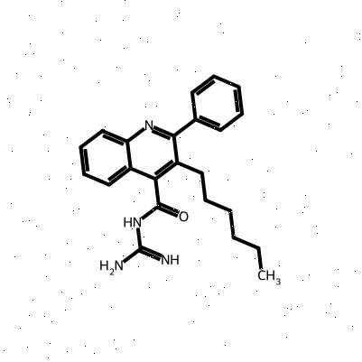 CCCCCCc1c(-c2ccccc2)nc2ccccc2c1C(=O)NC(=N)N